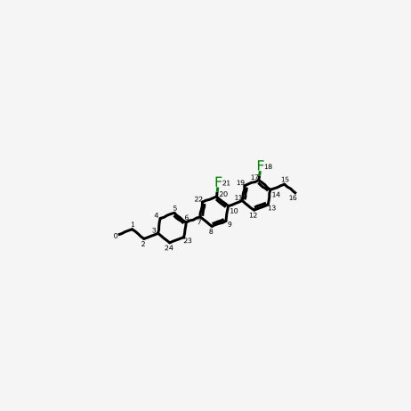 CCCC1CC=C(c2ccc(-c3ccc(CC)c(F)c3)c(F)c2)CC1